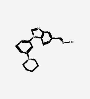 ON=Cc1ccc2c(c1)ncn2-c1cccc(N2CCCCC2)c1